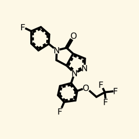 O=C1c2cnn(-c3ccc(F)cc3OCC(F)(F)F)c2CN1c1ccc(F)cc1